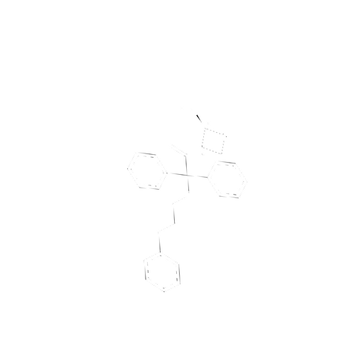 O=C(O)[C@H]1NC[C@@H]1C(=O)C(OCCCc1ccccc1)(c1ccccc1)c1ccccc1